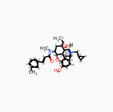 CCC1CC(N(C)C(=O)/C=C/c2cccc(C)c2)C2Oc3c(O)ccc4c3[C@@]23CCN(CC2CC2)[C@H](C4)[C@]13O